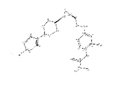 COc1cnc(N2CCC([C@H]3C[C@H]3CCOc3ccc(CC(=O)N(C)C)c(F)c3)CC2)nc1